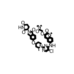 C[C@H]1C[C@@H](Oc2ccc3c(c2)CN(C2CCC(=O)NC2=O)C3=O)CCN1c1ncc(Cl)c(Nc2ccc3c(c2)cc(OCC(=O)N(C)C)c(=O)n3C)n1